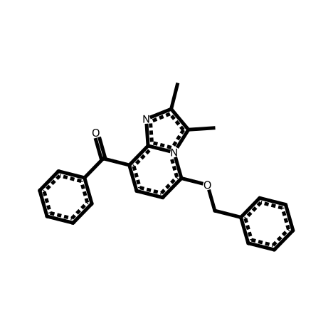 Cc1nc2c(C(=O)c3ccccc3)ccc(OCc3ccccc3)n2c1C